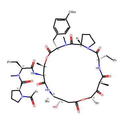 CC[C@H](C)[C@H]1NC(=O)[C@@H](NC(=O)[C@H](CC(C)C)N(C)C(=O)[C@@H]2CCCN2C(=O)C(C)C)[C@@H](C)OC(=O)[C@H](Cc2ccc(OC)cc2)N(C)C(=O)[C@@H]2CCCN2C(=O)[C@H](CC(C)C)NC(=O)[C@@H](C)C(=O)[C@H](C(C)C)OC(=O)C[C@@H]1O